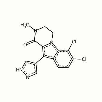 CN1CCn2c(c(-c3cn[nH]c3)c3ccc(Cl)c(Cl)c32)C1=O